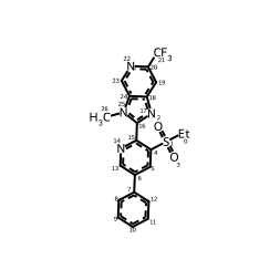 CCS(=O)(=O)c1cc(-c2ccccc2)cnc1-c1nc2cc(C(F)(F)F)ncc2n1C